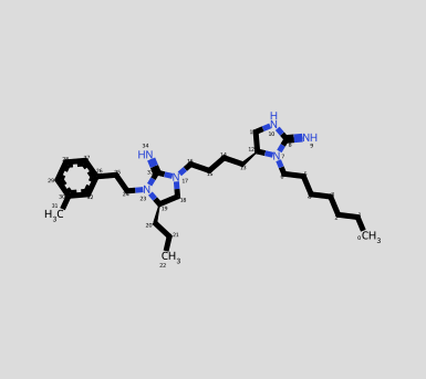 CCCCCCCN1C(=N)NC[C@@H]1CCCCN1C[C@@H](CCC)N(CCc2cccc(C)c2)C1=N